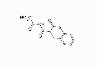 O=C(O)C(=O)NC(=O)C1Cc2ccccc2SC1=O